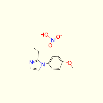 CCc1nccn1-c1ccc(OC)cc1.O=[N+]([O-])O